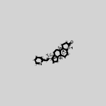 C[C@]12CC[C@H]3[C@@H](CCC4NC(=O)CC[C@@]43C)[C@@H]1CC[C@@H]2/C=C/c1ccccn1